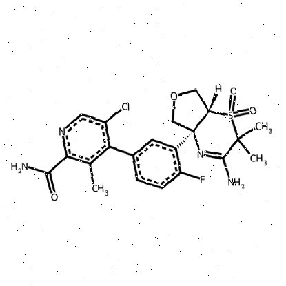 Cc1c(C(N)=O)ncc(Cl)c1-c1ccc(F)c([C@]23COC[C@@H]2S(=O)(=O)C(C)(C)C(N)=N3)c1